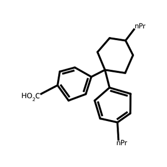 CCCc1ccc(C2(c3ccc(C(=O)O)cc3)CCC(CCC)CC2)cc1